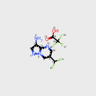 Nc1cnn2cc(C(F)F)cnc12.O=C(O)C(F)(F)F